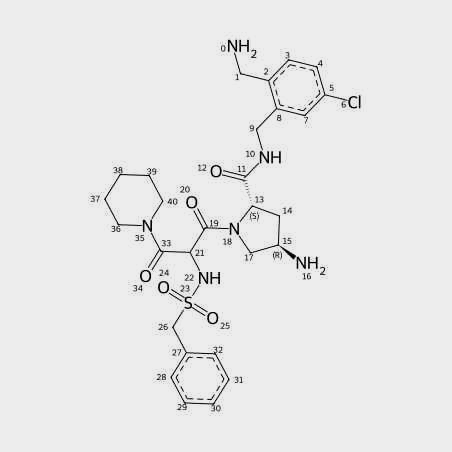 NCc1ccc(Cl)cc1CNC(=O)[C@@H]1C[C@@H](N)CN1C(=O)C(NS(=O)(=O)Cc1ccccc1)C(=O)N1CCCCC1